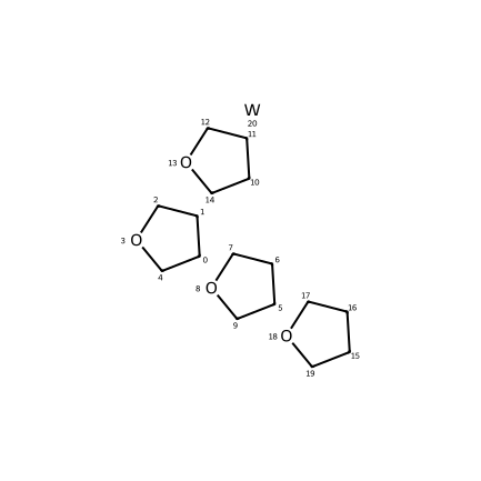 C1CCOC1.C1CCOC1.C1CCOC1.C1CCOC1.[W]